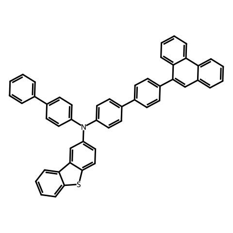 c1ccc(-c2ccc(N(c3ccc(-c4ccc(-c5cc6ccccc6c6ccccc56)cc4)cc3)c3ccc4sc5ccccc5c4c3)cc2)cc1